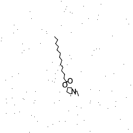 CCCCCCCCCCCCCC(=O)OC1C[CH]N(CC)C1